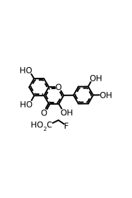 O=C(O)CF.O=c1c(O)c(-c2ccc(O)c(O)c2)oc2cc(O)cc(O)c12